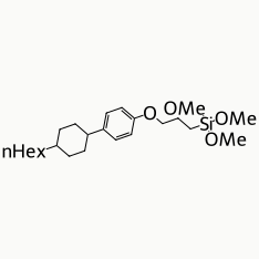 CCCCCCC1CCC(c2ccc(OCCC[Si](OC)(OC)OC)cc2)CC1